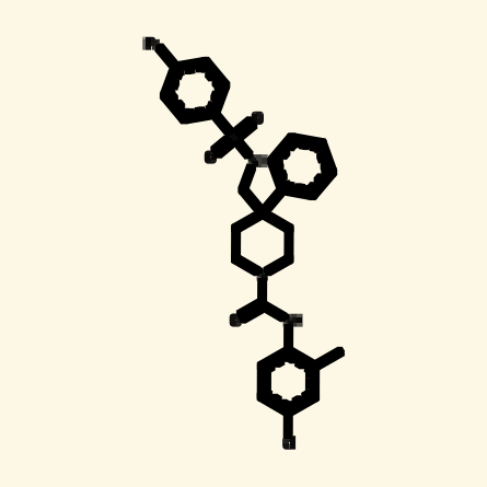 Cc1cc(Cl)ccc1NC(=O)N1CCC(CNS(=O)(=O)c2ccc(C(C)C)cc2)(c2ccccc2)CC1